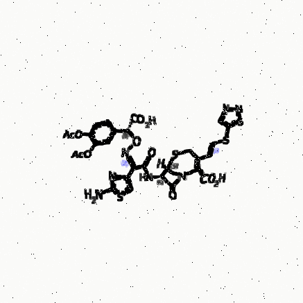 CC(=O)Oc1ccc([C@@H](O/N=C(\C(=O)N[C@@H]2C(=O)N3C(C(=O)O)=C(/C=C/Sc4cnns4)CS[C@@H]23)c2csc(N)n2)C(=O)O)cc1OC(C)=O